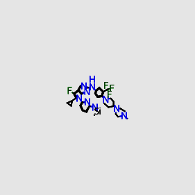 CN1CCN(C2CCN(c3ccc(Nc4ncc5c(F)c(C6CC6)n(-c6cccc(N=[Si](C)C)n6)c5n4)cc3C(F)(F)F)CC2)CC1